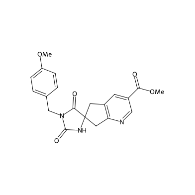 COC(=O)c1cnc2c(c1)CC1(C2)NC(=O)N(Cc2ccc(OC)cc2)C1=O